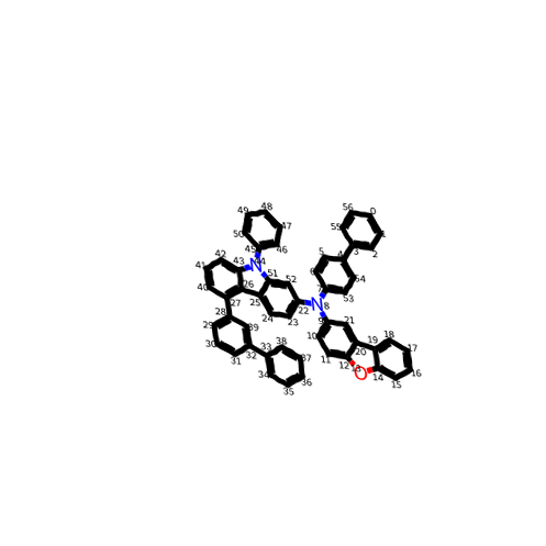 c1ccc(-c2ccc(N(c3ccc4oc5ccccc5c4c3)c3ccc4c5c(-c6cccc(-c7ccccc7)c6)cccc5n(-c5ccccc5)c4c3)cc2)cc1